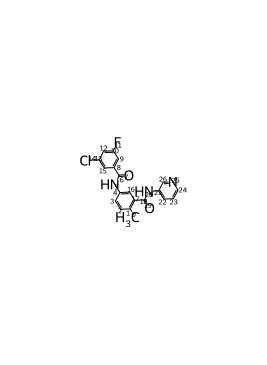 Cc1ccc(NC(=O)c2cc(F)cc(Cl)c2)cc1C(=O)Nc1cccnc1